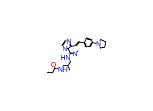 CCC(=O)NCC(C)CN/C(=N/C)c1nccnc1/C=C/c1ccc(N2CCCC2)cc1